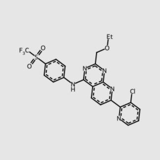 CCOCc1nc(Nc2ccc(S(=O)(=O)C(F)(F)F)cc2)c2ccc(-c3ncccc3Cl)nc2n1